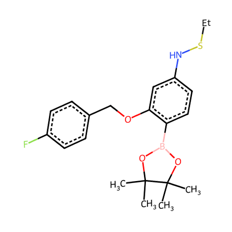 CCSNc1ccc(B2OC(C)(C)C(C)(C)O2)c(OCc2ccc(F)cc2)c1